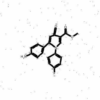 COC(=O)c1cn(-c2ccc(F)cc2)c(-c2ccc(N)cc2)cc1=O